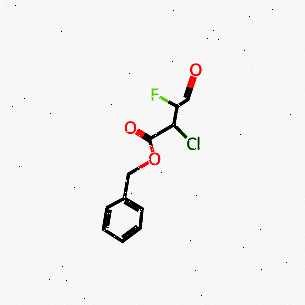 O=CC(F)C(Cl)C(=O)OCc1ccccc1